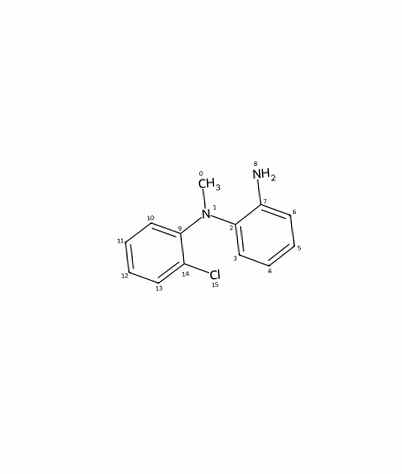 CN(c1ccccc1N)c1ccccc1Cl